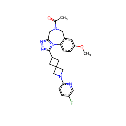 COc1ccc2c(c1)CN(C(C)=O)Cc1nnc(C3CC4(C3)CN(c3ccc(F)cn3)C4)n1-2